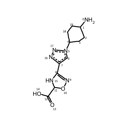 NC1CCC(n2cc(C3=NOC(C(=O)O)N3)nn2)CC1